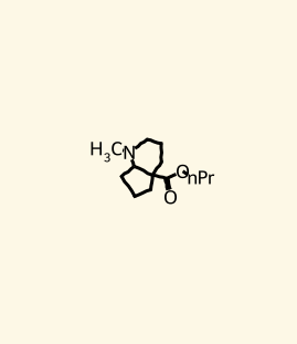 CCCOC(=O)C12CCCC1N(C)CCC2